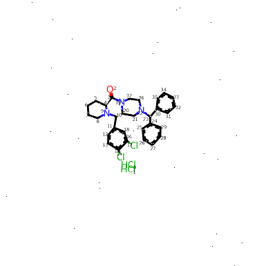 Cl.Cl.O=C([C@@H]1CCCCN1Cc1ccc(Cl)c(Cl)c1)N1CCN(C(c2ccccc2)c2ccccc2)CC1